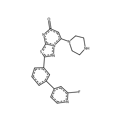 O=c1cc(N2CCNCC2)n2nc(-c3cccc(-c4ccnc(F)c4)c3)sc2n1